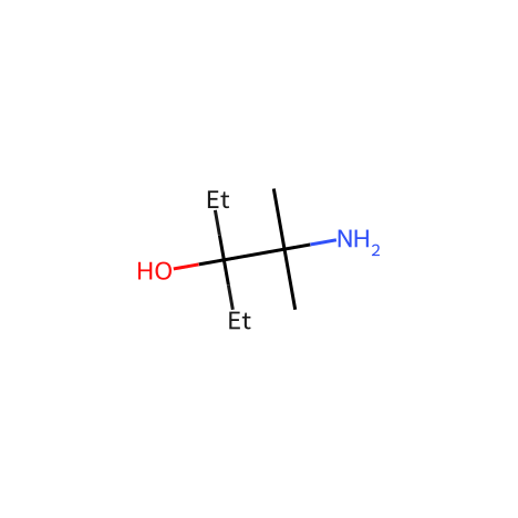 CCC(O)(CC)C(C)(C)N